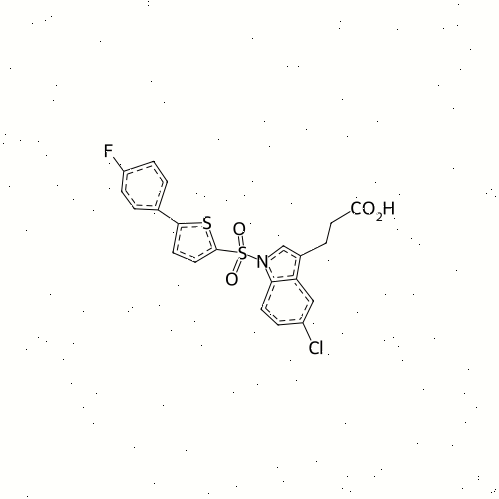 O=C(O)CCc1cn(S(=O)(=O)c2ccc(-c3ccc(F)cc3)s2)c2ccc(Cl)cc12